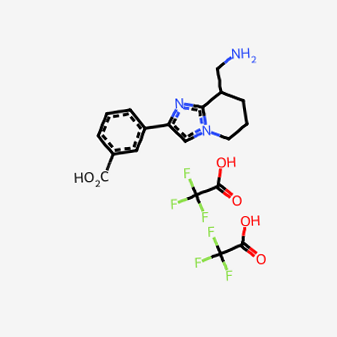 NCC1CCCn2cc(-c3cccc(C(=O)O)c3)nc21.O=C(O)C(F)(F)F.O=C(O)C(F)(F)F